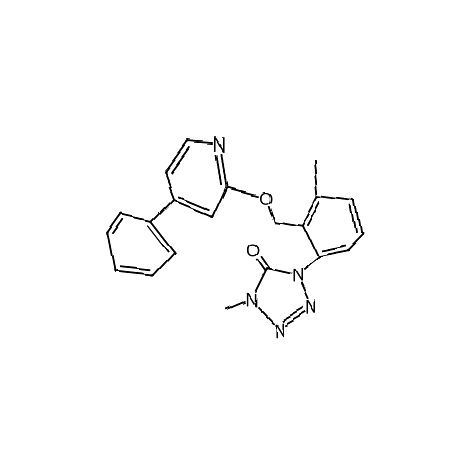 Cc1cccc(-n2nnn(C)c2=O)c1COc1cc(-c2ccccc2)ccn1